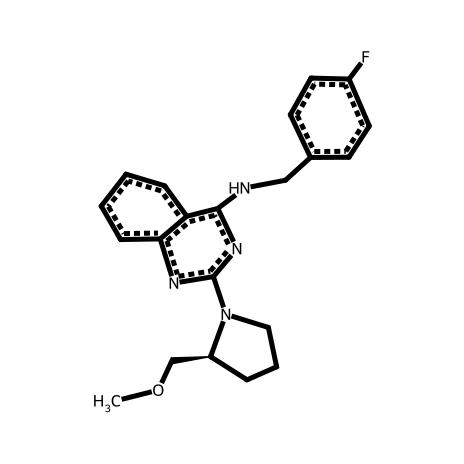 COC[C@@H]1CCCN1c1nc(NCc2ccc(F)cc2)c2ccccc2n1